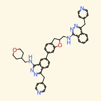 c1ccc2c(NCC3Cc4ccc(-c5ccc6c(Cc7ccncc7)nnc(NCC7CCOCC7)c6c5)cc4O3)nnc(Cc3ccncc3)c2c1